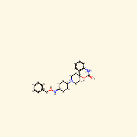 O=C1Nc2ccccc2C2(CCN(C3CCC(=NOCc4ccccc4)CC3)CC2)O1